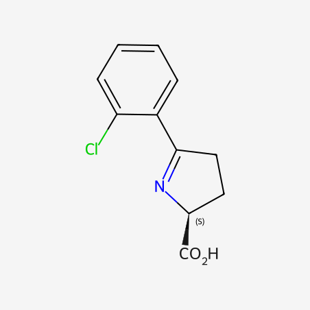 O=C(O)[C@@H]1CCC(c2ccccc2Cl)=N1